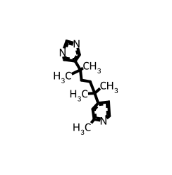 Cc1cc(C(C)(C)CCC(C)(C)c2cncnc2)ccn1